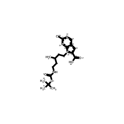 CC(CCNC(=O)OC(C)(C)C)CCn1c(C(=O)O)cc2cnc(Cl)nc21